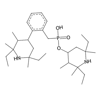 CCC1(C)CC(OP(=O)(O)Cc2ccccc2C2CC(C)(CC)NC(C)(CC)C2C)C(C)C(C)(CC)N1